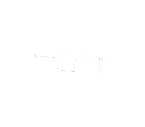 NC1CCC(C[PH](=O)O)C1